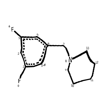 Fc1cc(F)cc(CN2CC[CH]CC2)c1